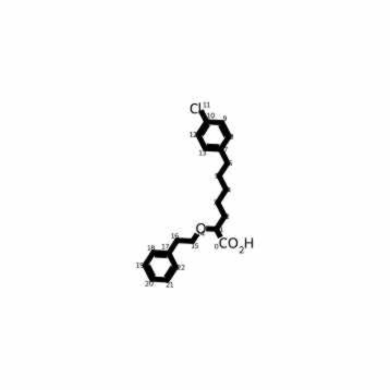 O=C(O)C(CCCCCc1ccc(Cl)cc1)OCCc1ccccc1